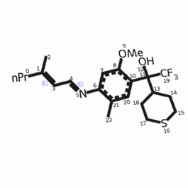 CCC/C(C)=C/C=N/c1cc(OC)c(C(O)(C2CCSCC2)C(F)(F)F)cc1C